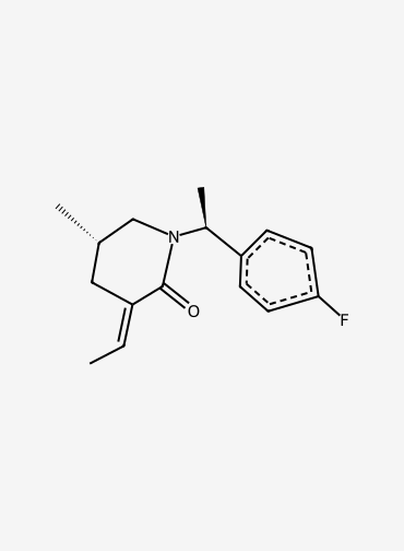 C/C=C1\C[C@H](C)CN([C@@H](C)c2ccc(F)cc2)C1=O